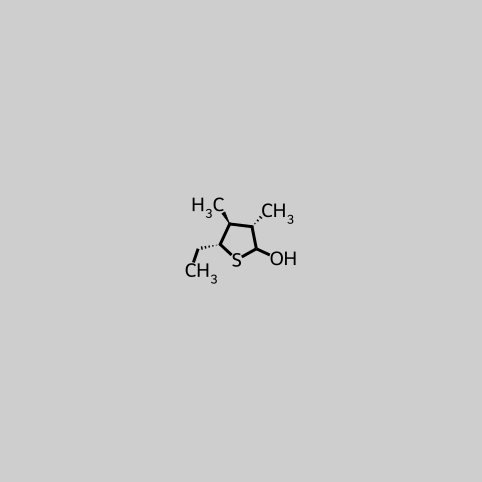 CC[C@H]1SC(O)[C@@H](C)[C@@H]1C